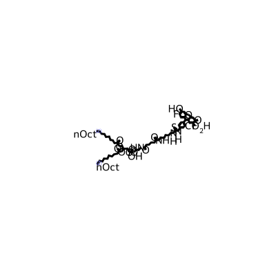 CCCCCCCC/C=C\CCCCCCCC(=O)OCC(COP(=O)(O)OCCNC(=O)CCCCC(=O)NCCCCCNC(=S)Nc1ccc(-c2c3cc(F)c(=O)cc-3oc3cc(O)c(F)cc23)c(C(=O)O)c1)OC(=O)CCCCCCC/C=C\CCCCCCCC